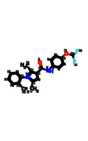 Cc1cc(C(=O)Nc2ccc(OC(F)F)cc2)c(C)n1-c1ccccc1C(F)(F)F